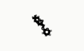 CC1(C)Cc2cc(COC3CCCCO3)nn2C1